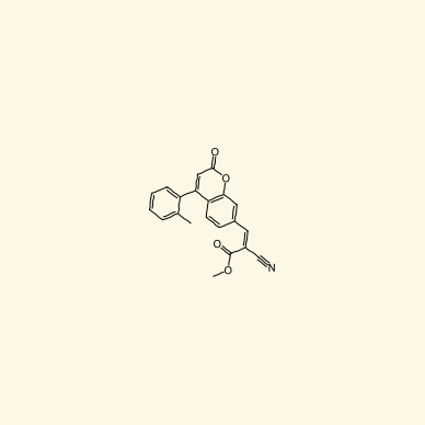 COC(=O)C(C#N)=Cc1ccc2c(-c3ccccc3C)cc(=O)oc2c1